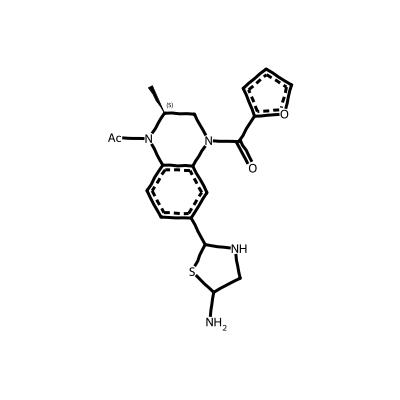 CC(=O)N1c2ccc(C3NCC(N)S3)cc2N(C(=O)c2ccco2)C[C@@H]1C